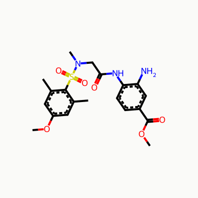 COC(=O)c1ccc(NC(=O)CN(C)S(=O)(=O)c2c(C)cc(OC)cc2C)c(N)c1